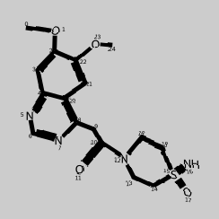 COc1cc2ncnc(CC(=O)N3CCS(=N)(=O)CC3)c2cc1OC